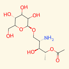 CC(=O)O[C@H](C)[C@@H](O)[C@@H](N)CO[C@H]1OC(CO)[C@H](O)C(O)C1O